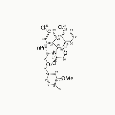 CCC[C@@H](COCc1ccc(C)c(OC)c1)N1C(=O)CO[C@H](c2cccc(Cl)c2)C1c1ccc(Cl)cc1